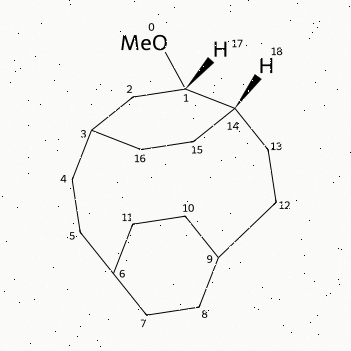 CO[C@H]1CC2CCC3CCC(CC3)CC[C@@H]1CC2